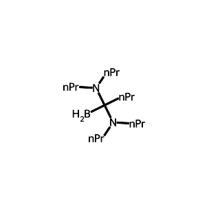 BC(CCC)(N(CCC)CCC)N(CCC)CCC